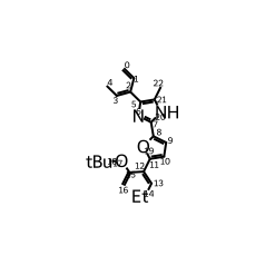 C=C/C(=C\C)c1nc(-c2ccc(/C(=C/CC)C(=C)OC(C)(C)C)o2)[nH]c1C